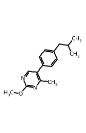 COc1ncc(-c2ccc(CC(C)C)cc2)c(C)n1